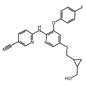 N#Cc1ccc(Nc2ncc(SCC3CC3CO)cc2Oc2ccc(F)cc2)nc1